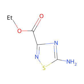 CCOC(=O)c1nsc(N)n1